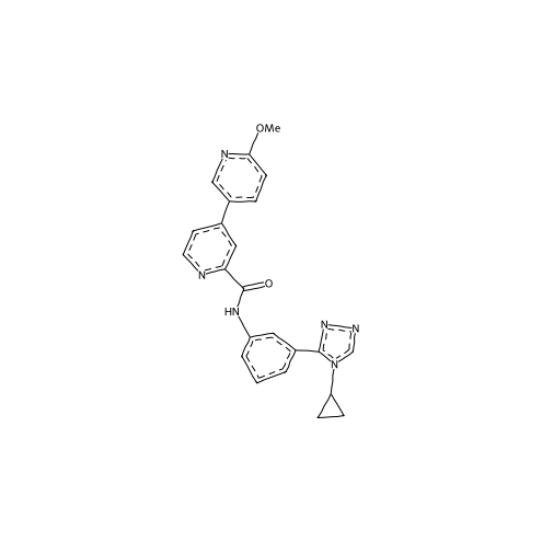 COc1ccc(-c2ccnc(C(=O)Nc3cccc(-c4nncn4C4CC4)c3)c2)cn1